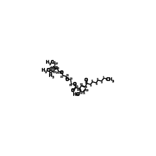 CCCCCCCC(=O)c1ccc(O)c(C(=O)OCCOCCOCC[N+](CC)(CC)CC)c1